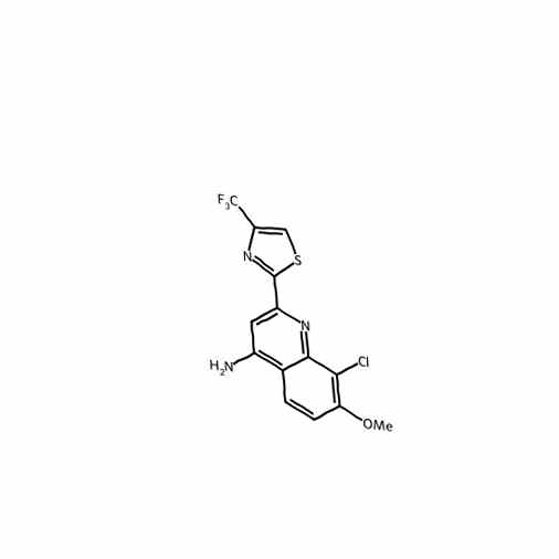 COc1ccc2c(N)cc(-c3nc(C(F)(F)F)cs3)nc2c1Cl